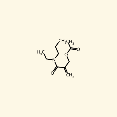 C=C(COC(C)=O)C(=O)N(CC)CCC